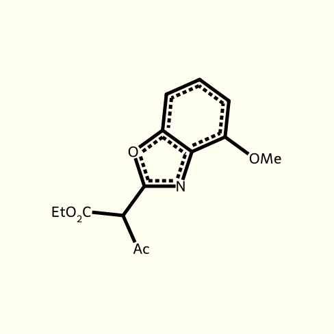 CCOC(=O)C(C(C)=O)c1nc2c(OC)cccc2o1